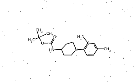 Cc1ccc(N2CCC(NC(=O)OC(C)(C)C)CC2)c(N)c1